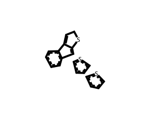 C1=C2SCC=C2c2ccccc21.c1ccsc1.c1ccsc1